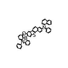 c1ccc(N2c3ccccc3B3c4cc5sc6c7ccc(N(c8ccccc8)c8cccc9ccccc89)cc7ccc6c5cc4Oc4cccc2c43)cc1